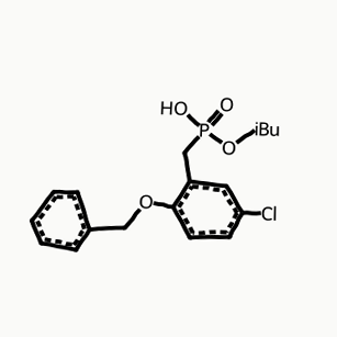 CCC(C)OP(=O)(O)Cc1cc(Cl)ccc1OCc1ccccc1